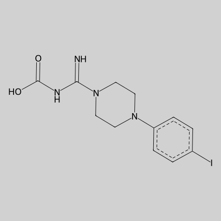 N=C(NC(=O)O)N1CCN(c2ccc(I)cc2)CC1